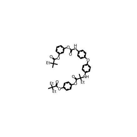 CCC(C)(C)C(=O)Oc1cccc(OC(=O)Nc2ccc(Oc3ccc(NC(C)(CC)C(=O)Oc4ccc(OC(=O)C(C)(CC)CC)cc4)cc3)cc2)c1